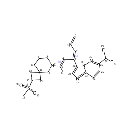 C=N/C=C(\C=C(/C)N1CCCC2(C1)CN(S(C)(=O)=O)C2)c1cnc2ccc(C(F)F)nn12